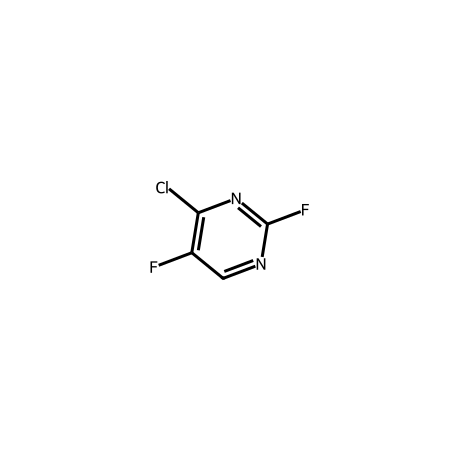 Fc1ncc(F)c(Cl)n1